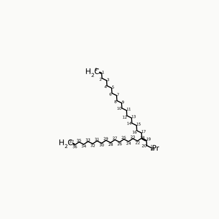 C=CCCCCCCCCCCCCCCCCC(=CCC(C)C)CCCCCCCCCCCCCCC=C